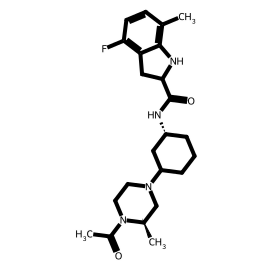 CC(=O)N1CCN(C2CCC[C@@H](NC(=O)C3Cc4c(F)ccc(C)c4N3)C2)C[C@H]1C